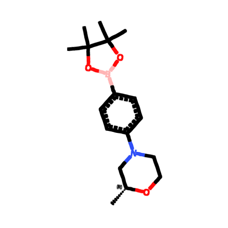 C[C@@H]1CN(c2ccc(B3OC(C)(C)C(C)(C)O3)cc2)CCO1